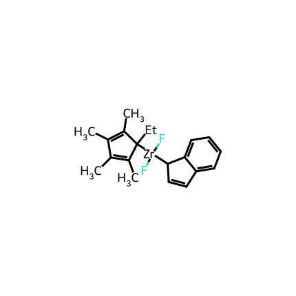 CC[C]1([Zr]([F])([F])[CH]2C=Cc3ccccc32)C(C)=C(C)C(C)=C1C